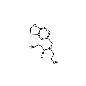 CC(C)(C)OC(=O)N(CCO)Cc1ccc2c(c1)OCO2